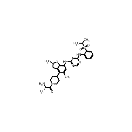 Cc1cc(Nc2ncnc(Nc3ccccc3S(=O)(=O)C(C)C)n2)c2c(c1C1CCN(C(=O)[C@H](C)N)CC1)C[C@@H](C)O2